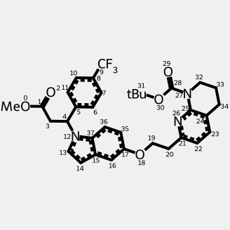 COC(=O)CC(c1ccc(C(F)(F)F)cc1)n1ccc2cc(OCCc3ccc4c(n3)N(C(=O)OC(C)(C)C)CCC4)ccc21